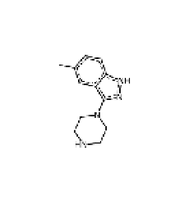 Cc1ccc2[nH]nc(N3CCNCC3)c2c1